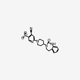 N#Cc1cc(N2CCC(N3CCc4ccccc4NC3=O)CC2)ncc1[N+](=O)[O-]